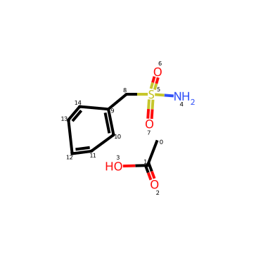 CC(=O)O.NS(=O)(=O)Cc1ccccc1